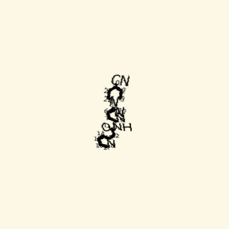 N#CC1CCN(c2ccc(NC(=O)Cc3ccccn3)nn2)CC1